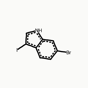 Brc1ccc2c(I)c[nH]c2c1